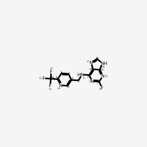 Fc1nc(NCc2ccc(C(F)(F)F)nc2)c2nc[nH]c2n1